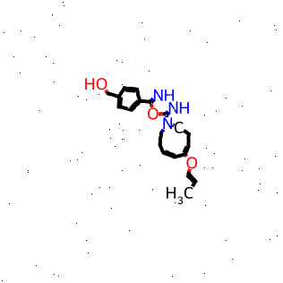 C/C=C/OC1=C/CCN(C(=N)OC(=N)c2ccc(CO)cc2)CC/C=C\1